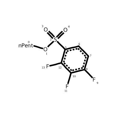 CCCCCOS(=O)(=O)c1ccc(F)c(F)c1F